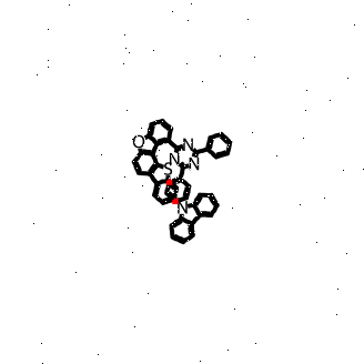 c1ccc(-c2nc(-c3ccccc3)nc(-c3cccc4oc5ccc6c7ccc(-n8c9ccccc9c9ccccc98)cc7sc6c5c34)n2)cc1